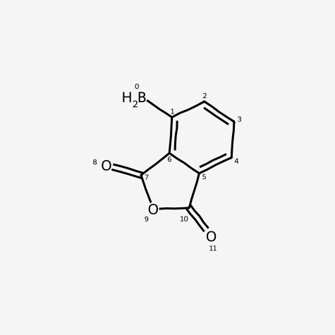 Bc1cccc2c1C(=O)OC2=O